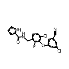 N#Cc1cc(Cl)cc(Oc2c(Cl)ccc(CNC(=O)c3ccc[nH]3)c2F)c1